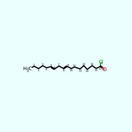 CCCCCC=CCC=CCCCCCCCC(=O)Cl